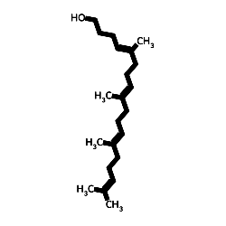 CC(C)=CCC/C(C)=C/CC/C(C)=C/CCC(C)=CCCCO